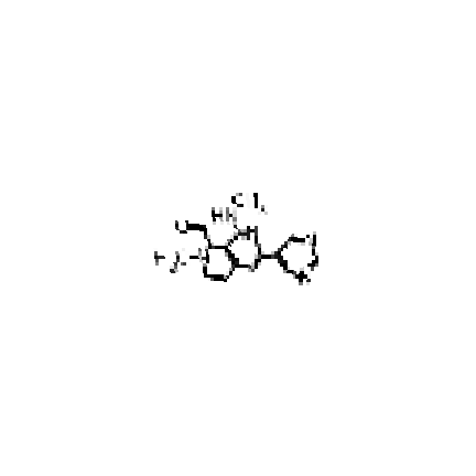 CNc1nc(-c2cncnc2)cc2c1C(C=O)N(C)C=C2